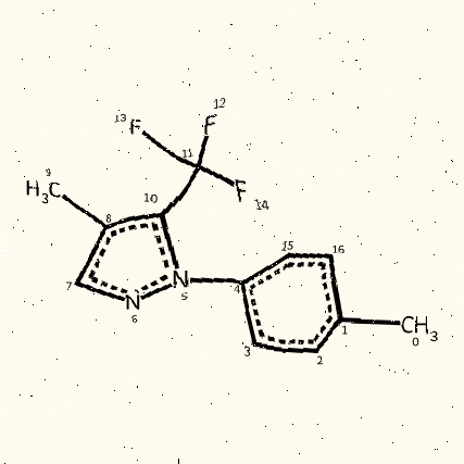 Cc1ccc(-n2ncc(C)c2C(F)(F)F)cc1